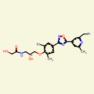 CCc1cc(-c2noc(-c3cc(C)nc(CC(C)C)c3)n2)cc(C)c1OC[C@H](O)CNC(=O)CO